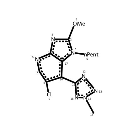 CCCCCn1c(OC)nc2ncc(Cl)c(-c3nnn(C)n3)c21